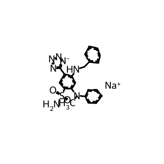 CN(c1ccccc1)c1cc(NCc2ccccc2)c(-c2nnn[n-]2)cc1S(N)(=O)=O.[Na+]